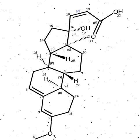 COC1=CC2=CC[C@@H]3[C@H](CC[C@@]4(C)[C@H]3CC[C@@]4(O)/C=C\C(=O)O)[C@H]2CC1